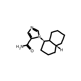 NC(=O)c1cncn1[C@@H]1CCC[C@H]2CCCCC21